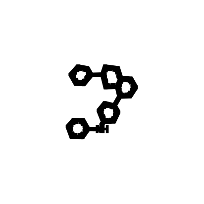 c1ccc(Nc2ccc(-c3cccc4ccc(-c5ccccc5)cc34)cc2)cc1